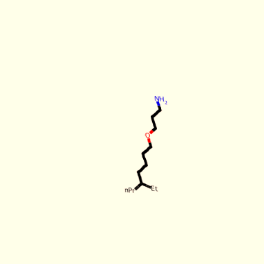 CCCC(CC)CCCCOCCCN